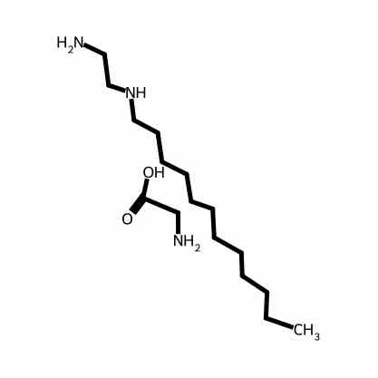 CCCCCCCCCCCCNCCN.NCC(=O)O